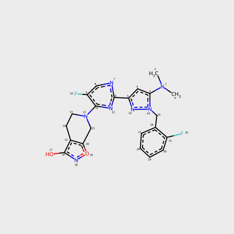 CN(C)c1cc(-c2ncc(F)c(N3CCc4c(O)noc4C3)n2)nn1Cc1ccccc1F